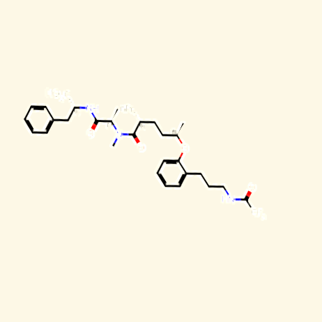 CCC[C@H](CC[C@@H](C)Oc1ccccc1CCCNC(=O)C(F)(F)F)C(=O)N(C)[C@H](C)C(=O)N[C@H](Cc1ccccc1)C(=O)O